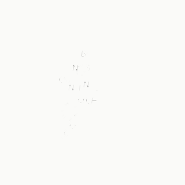 COc1ccc(CNC(=O)c2nc(Br)sc2N)c(OC)c1